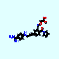 N=C(N)c1ccc(NCC#CC2=CC=C(C(=O)N3CCCC3)C(=C=NOCC(=O)O)C2)cc1